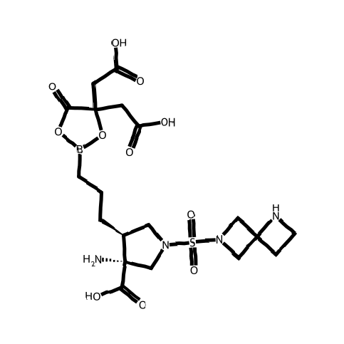 N[C@@]1(C(=O)O)CN(S(=O)(=O)N2CC3(CCN3)C2)C[C@@H]1CCCB1OC(=O)C(CC(=O)O)(CC(=O)O)O1